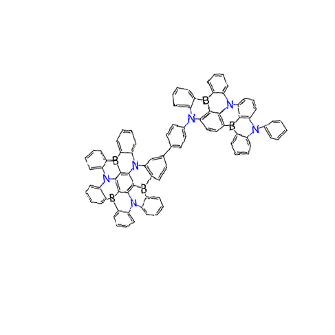 c1ccc(N2c3ccccc3B3c4ccc5c6c4N(c4ccccc4B6c4ccccc4N5c4ccc(-c5ccc6c(c5)N5c7ccccc7B7c8ccccc8N8c9ccccc9B9c%10ccccc%10N%10c%11ccccc%11B6c6c%10c9c8c7c65)cc4)c4cccc2c43)cc1